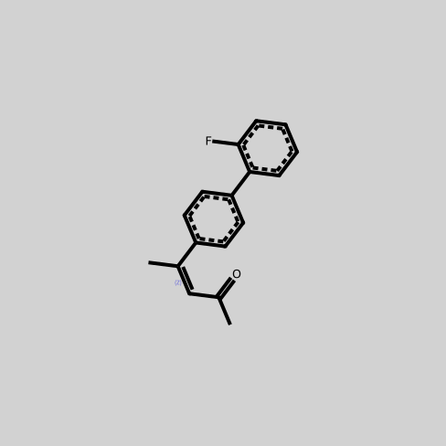 CC(=O)/C=C(/C)c1ccc(-c2ccccc2F)cc1